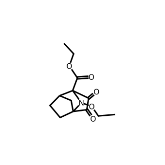 CCOC(=O)C12C(=O)C(=O)C3(CCC1C3)N2OCC